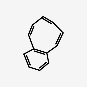 [c]1cccc2c1\C=C/C=C\C=C/2